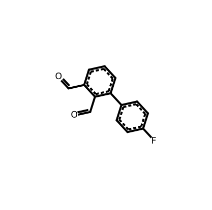 O=Cc1cccc(-c2ccc(F)cc2)c1C=O